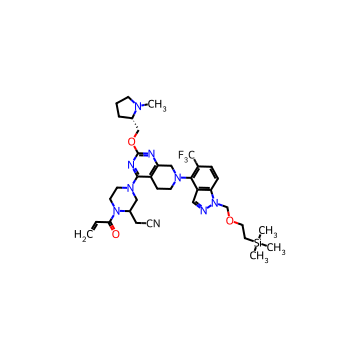 C=CC(=O)N1CCN(c2nc(OC[C@@H]3CCCN3C)nc3c2CCN(c2c(C(F)(F)F)ccc4c2cnn4COCC[Si](C)(C)C)C3)CC1CC#N